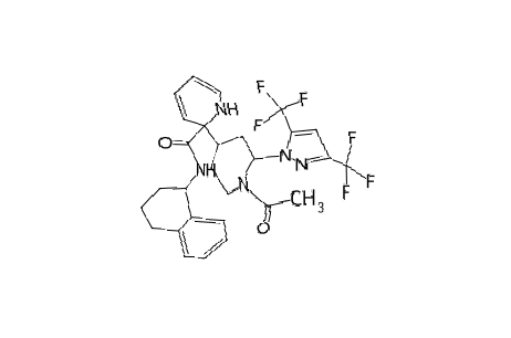 CC(=O)N1CCC(C2(C(=O)NC3CCCc4ccccc43)C=CC=CN2)CC1n1nc(C(F)(F)F)cc1C(F)(F)F